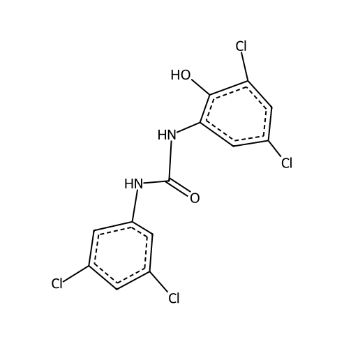 O=C(Nc1cc(Cl)cc(Cl)c1)Nc1cc(Cl)cc(Cl)c1O